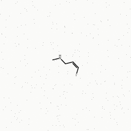 CNC/C=C\I